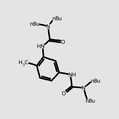 CCCCN(CCCC)C(=O)Nc1ccc(C)c(NC(=O)N(CCCC)CCCC)c1